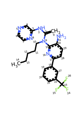 C=C(Nc1cnccn1)N(CCCCC)c1nc(-c2cccc(C(F)(F)F)c2)ccc1N